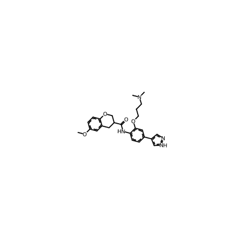 COc1ccc2c(c1)CC(C(=O)Nc1ccc(-c3cn[nH]c3)cc1OCCCN(C)C)CO2